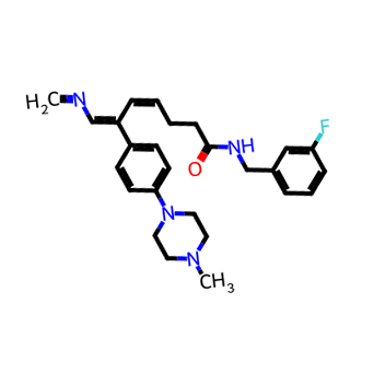 C=N/C=C(\C=C/CCC(=O)NCc1cccc(F)c1)c1ccc(N2CCN(C)CC2)cc1